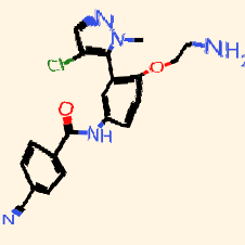 Cn1ncc(Cl)c1-c1cc(NC(=O)c2ccc(C#N)cc2)ccc1OCCN